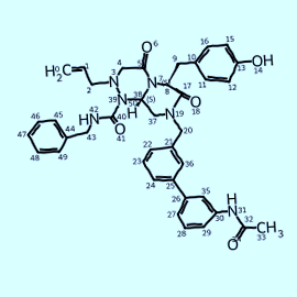 C=CCN1CC(=O)N2[C@@H](Cc3ccc(O)cc3)C(=O)N(Cc3cccc(-c4cccc(NC(C)=O)c4)c3)C[C@@H]2N1C(=O)NCc1ccccc1